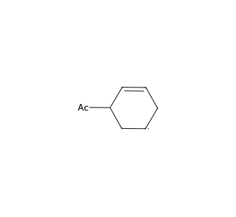 CC(=O)C1C=CC[CH]C1